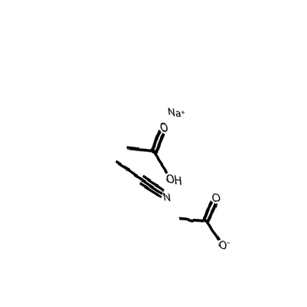 CC#N.CC(=O)O.CC(=O)[O-].[Na+]